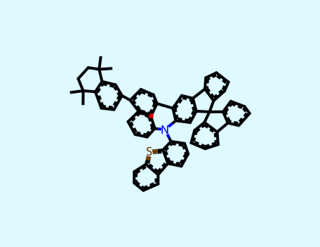 CC1(C)CCC(C)(C)c2cc(-c3ccc(-c4cc5c(cc4N(c4ccccc4)c4cccc6c4sc4ccccc46)C4(c6ccccc6-c6ccccc64)c4ccccc4-5)cc3)ccc21